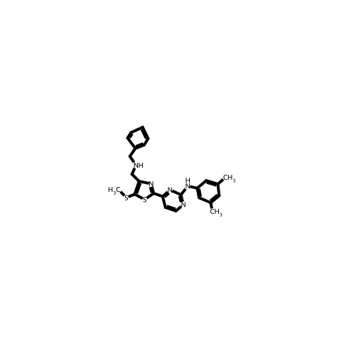 CSc1sc(-c2ccnc(Nc3cc(C)cc(C)c3)n2)nc1CNCc1ccccc1